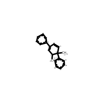 CC1C=C(c2ccccc2)C=CC1(C)c1ccccc1